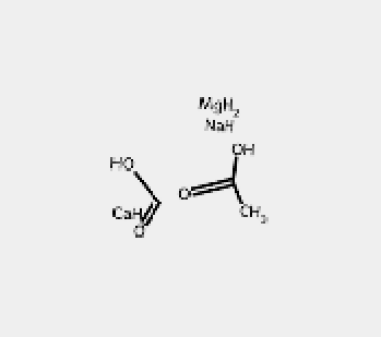 CC(=O)O.O=CO.[CaH2].[MgH2].[NaH]